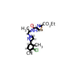 CCOC(=O)c1nc(C(=O)N[C@@H](C)Cn2ccc(-c3ccc(C#N)c(Cl)c3C)n2)cs1